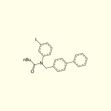 CCCCC(=O)N(Cc1ccc(-c2ccccc2)cc1)c1cccc(I)c1